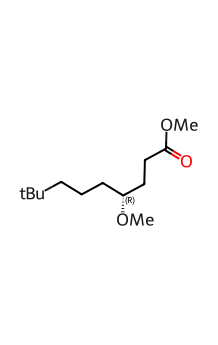 COC(=O)CC[C@@H](CCCC(C)(C)C)OC